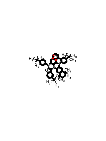 Cc1cc2c3c(c1)N(c1ccc(C(C)(C)C)cc1)c1oc4ccc(C(C)(C)C)cc4c1B3c1cc3c(cc1N2c1ccc(C(C)(C)C)cc1-c1ccccc1)C(C)(C)CCC3(C)C